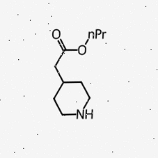 CCCOC(=O)CC1CCNCC1